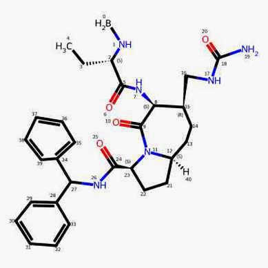 BN[C@@H](CC)C(=O)N[C@@H]1C(=O)N2[C@@H](CC[C@@H]1CNC(N)=O)CC[C@H]2C(=O)NC(c1ccccc1)c1ccccc1